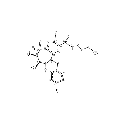 C[C@@H]1[C@H](N)C(=O)N(Cc2ccc(Cl)cc2)c2cc(C(=O)NCCCC(F)(F)F)c(F)cc2S1(=O)=O